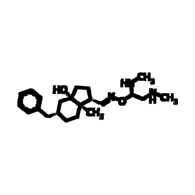 CNCC(NC)ON=C[C@H]1CC[C@]2(O)C[C@@H](Cc3ccccc3)CC[C@]12C